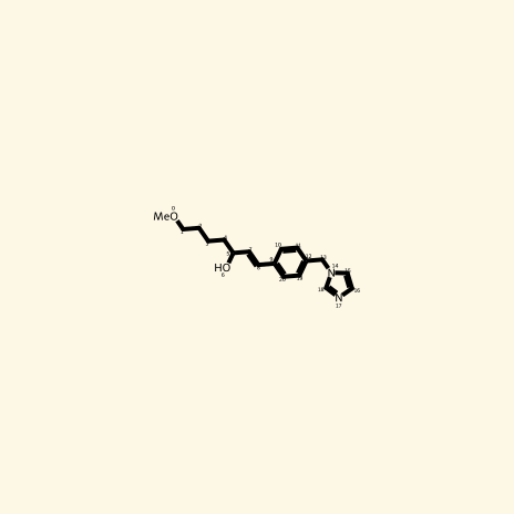 COCCCCC(O)C=Cc1ccc(Cn2ccnc2)cc1